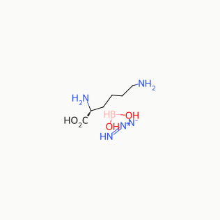 NCCCC[C@H](N)C(=O)O.OBO.[N-]=[N+]=N